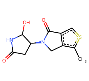 Cc1scc2c1CN([C@H]1CC(=O)NC1O)C2=O